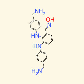 NCc1ccc(Nc2cccc(C=NO)c2Nc2ccc(CN)cc2)cc1